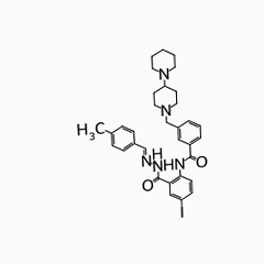 Cc1ccc(C=NNC(=O)c2cc(I)ccc2NC(=O)c2cccc(CN3CCC(N4CCCCC4)CC3)c2)cc1